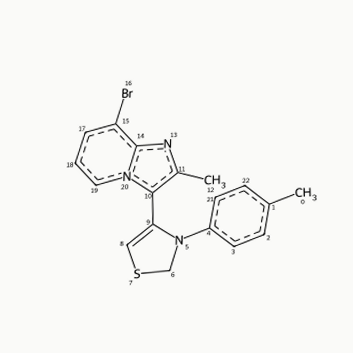 Cc1ccc(N2CSC=C2c2c(C)nc3c(Br)cccn23)cc1